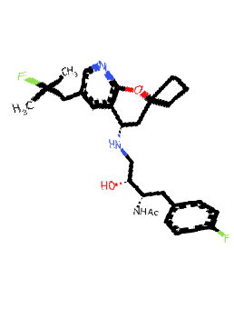 CC(=O)N[C@@H](Cc1ccc(F)cc1)[C@H](O)CN[C@H]1CC2(CCC2)Oc2ncc(CC(C)(C)F)cc21